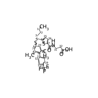 CCCC[C@@H](Sc1cc(C)c(-c2ccc(C(F)(F)F)cc2)c(C)c1)c1ccc(C(=O)NCCC(=O)O)s1